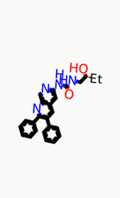 CC[C@@H](O)CNC(=O)Nc1cc2cc(-c3ccccc3)c(-c3ccccc3)nc2cn1